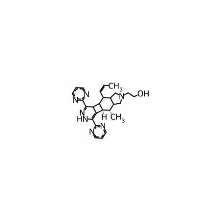 C/C=C\C1C2CN(CCO)CC2[C@H](C)[C@H]2C3=C(c4ncccn4)NN=C(c4ncccn4)C3C12